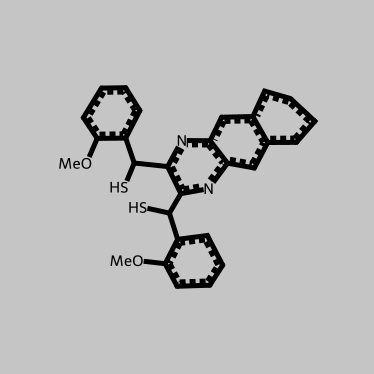 COc1ccccc1C(S)c1nc2cc3ccccc3cc2nc1C(S)c1ccccc1OC